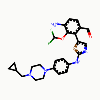 Nc1ccc(C=O)c(-c2cnc(Nc3ccc(N4CCN(CC5CC5)CC4)cc3)s2)c1OC(F)F